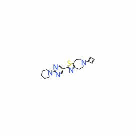 C1=CC(N2CCc3nc(-c4cnc(N5CCCCC5)nc4)sc3CC2)=C1